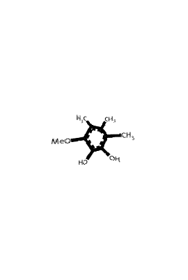 COc1c(C)c(C)c(C)c(O)c1O